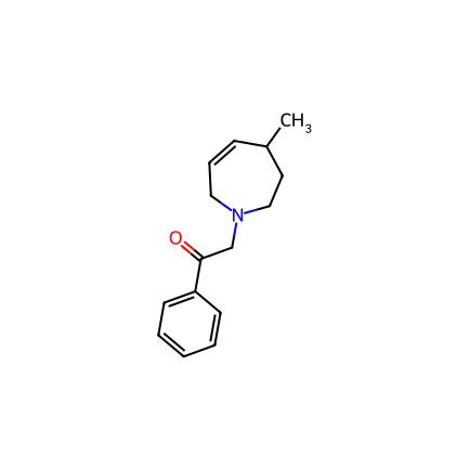 CC1C=CCN(CC(=O)c2ccccc2)CC1